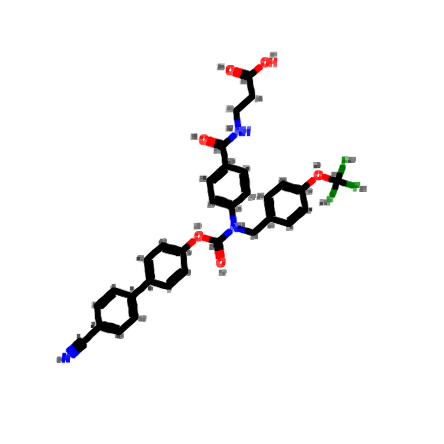 N#Cc1ccc(-c2ccc(OC(=O)N(Cc3ccc(OC(F)(F)F)cc3)c3ccc(C(=O)NCCC(=O)O)cc3)cc2)cc1